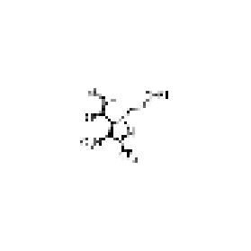 CCNC(=O)c1c([N+](=O)[O-])c(C(F)(F)F)nn1CCOCC